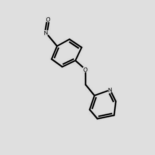 O=Nc1ccc(OCc2ccccn2)cc1